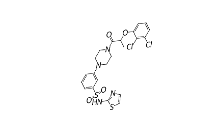 CC(Oc1cccc(Cl)c1Cl)C(=O)N1CCN(c2cccc(S(=O)(=O)Nc3nccs3)c2)CC1